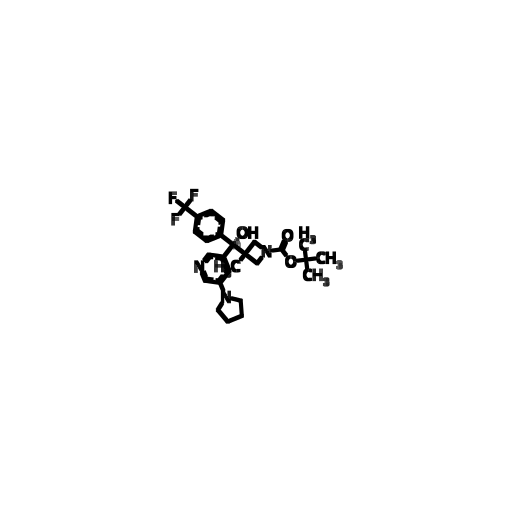 CC(C)(C)OC(=O)N1CC(C)([C@](O)(c2ccc(C(F)(F)F)cc2)c2cncc(N3CCCC3)c2)C1